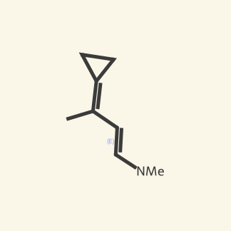 CN/C=C/C(C)=C1CC1